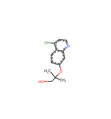 CC(C)(CO)Oc1ccc2c(Cl)ccnc2c1